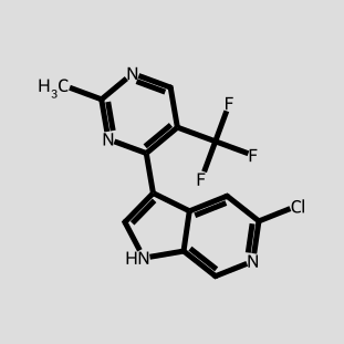 Cc1ncc(C(F)(F)F)c(-c2c[nH]c3cnc(Cl)cc23)n1